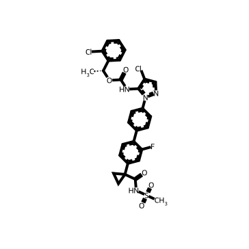 C[C@@H](OC(=O)Nc1c(Cl)cnn1-c1ccc(-c2ccc(C3(C(=O)NS(C)(=O)=O)CC3)cc2F)cc1)c1ccccc1Cl